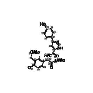 COCc1cc([C@H](NC(=O)c2cc(-c3ccc(O)cc3)n[nH]2)C(=O)OC)ccc1Cl